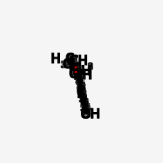 CC(C)C(=O)C12CC(NC(=O)NCCCCCCCCCCCCCCCCO)(C1)C2